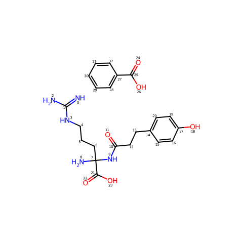 N=C(N)NCCCC(N)(NC(=O)CCc1ccc(O)cc1)C(=O)O.O=C(O)c1ccccc1